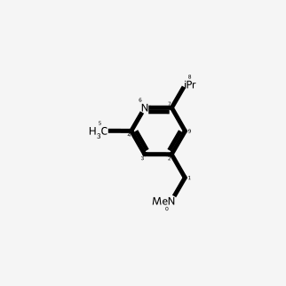 CNCc1cc(C)nc(C(C)C)c1